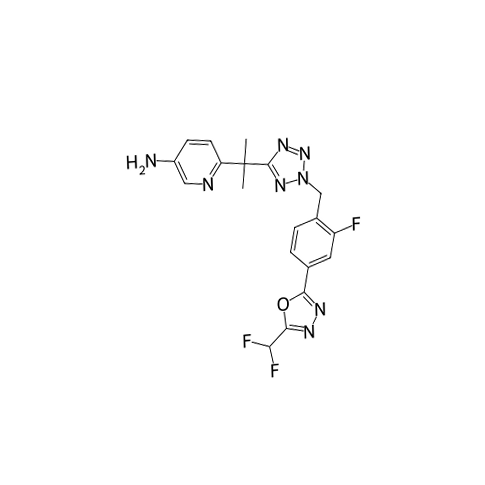 CC(C)(c1ccc(N)cn1)c1nnn(Cc2ccc(-c3nnc(C(F)F)o3)cc2F)n1